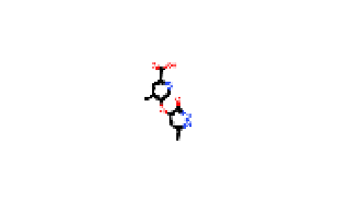 Cc1cc(Oc2cnc(C(=O)O)cc2C)c(=O)[nH]n1